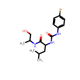 CC(C)CC(NC(=O)Nc1ccc(Br)cc1)C(=O)NC(C)CO